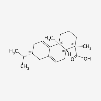 CC(C)[C@@H]1CC=C2C(=CC[C@H]3[C@](C)(C(=O)O)CCC[C@]23C)C1